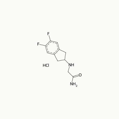 Cl.NC(=O)CNC1Cc2cc(F)c(F)cc2C1